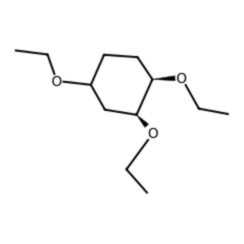 CCOC1CC[C@@H](OCC)[C@@H](OCC)C1